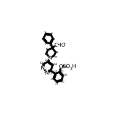 O=CC1(c2ccccc2)CCN(c2cnnc(-c3ccccc3OS(=O)(=O)O)c2)CC1